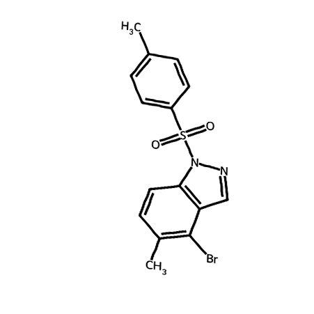 Cc1ccc(S(=O)(=O)n2ncc3c(Br)c(C)ccc32)cc1